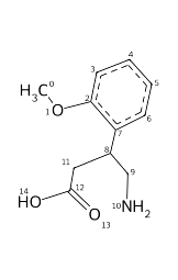 COc1ccccc1C(CN)CC(=O)O